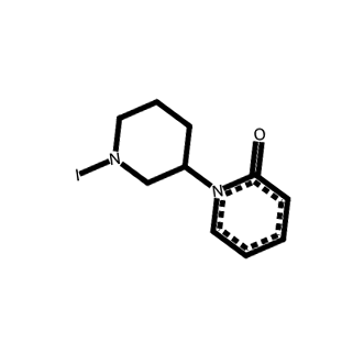 O=c1ccccn1C1CCCN(I)C1